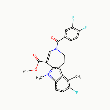 Cc1c(F)ccc2c1c1c(n2C)C(C(=O)OC(C)C)=CN(C(=O)c2ccc(F)c(F)c2)CC1